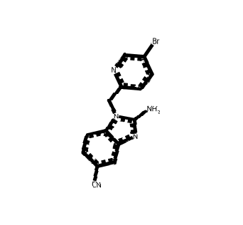 N#Cc1ccc2c(c1)nc(N)n2Cc1ccc(Br)cn1